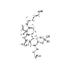 CC[Si](CC)(CC)O[C@@H]1C[C@]2(C)C3=C(OC(=O)[C@H]2C[C@H]1OCOC)[C@@H]1CC[C@H]([C@H](C)CCCC(C)C)[C@@]1(C)CC3